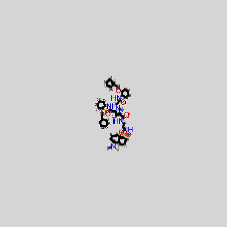 CN(C)c1cccc2c(S(=O)(=O)NCCNC(=O)c3cc(C(=O)N[C@H]4CCCC[C@@H]4OCc4ccccc4)n(CC(=O)N[C@H]4CCCC[C@@H]4OCc4ccccc4)n3)cccc12